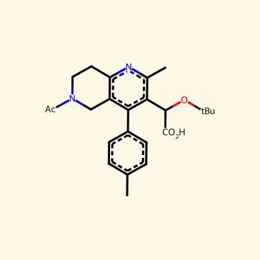 CC(=O)N1CCc2nc(C)c(C(OC(C)(C)C)C(=O)O)c(-c3ccc(C)cc3)c2C1